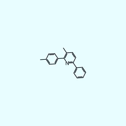 Cc1ccc(-c2nc(-c3ccccc3)ccc2C)cc1